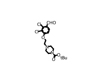 CC(C)(C)OC(=O)N1CCN(CCOc2ccc(C=O)c(Cl)c2Cl)CC1